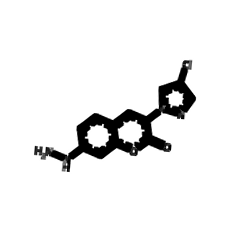 NNc1ccc2cc(-n3cc(Cl)cn3)c(=O)oc2c1